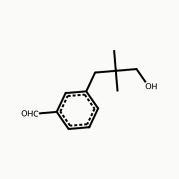 CC(C)(CO)Cc1cccc(C=O)c1